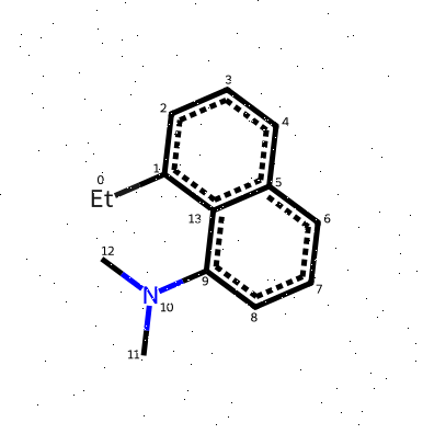 CCc1cccc2cccc(N(C)C)c12